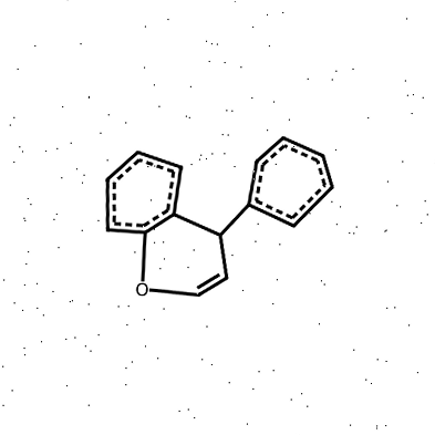 C1=CC(c2ccccc2)c2ccccc2O1